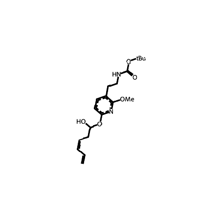 C=C/C=C\CC(O)Oc1ccc(CCNC(=O)OC(C)(C)C)c(OC)n1